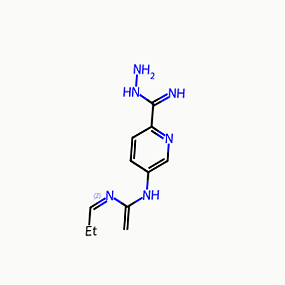 C=C(/N=C\CC)Nc1ccc(C(=N)NN)nc1